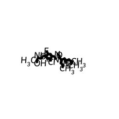 Cc1cc(-c2nc(-c3cc(F)c(OC[C@H](N)[C@@H](C)O)cc3Cl)no2)cc(CC(C)C)n1